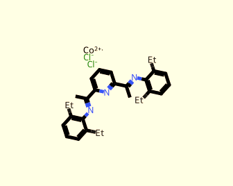 CCc1cccc(CC)c1N=C(C)c1cccc(C(C)=Nc2c(CC)cccc2CC)n1.[Cl-].[Cl-].[Co+2]